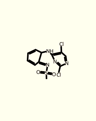 CS(=O)(=O)N=C1C=CC=CC1Nc1nc(Cl)ncc1Cl